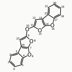 c1ccc2c(c1)oc1oc(Oc3cc4c(o3)oc3ccccc34)cc12